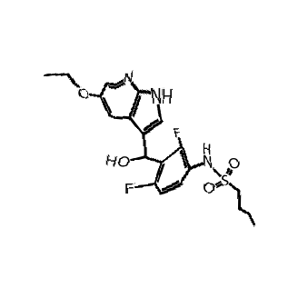 CCCS(=O)(=O)Nc1ccc(F)c(C(O)c2c[nH]c3ncc(OCC)cc23)c1F